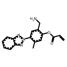 C=CC(=O)Oc1cc(C)c(-n2nc3ccccc3n2)cc1CN